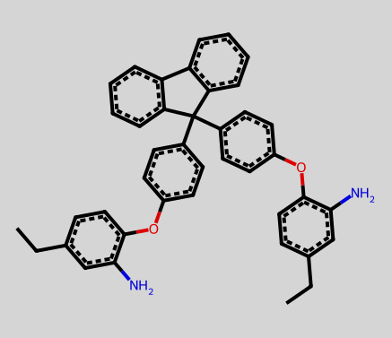 CCc1ccc(Oc2ccc(C3(c4ccc(Oc5ccc(CC)cc5N)cc4)c4ccccc4-c4ccccc43)cc2)c(N)c1